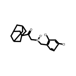 O=C(C[S+]([O-])Cc1ccc(Cl)cc1Cl)C12CC3CC(CC(C3)C1)C2